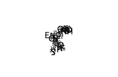 C1CCSC1.CCC1(C)C(=O)N(c2cccc(OC(F)F)c2)c2ccc(C(=O)NS3(C)CCOO3)cc21